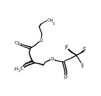 C=C(COC(=O)C(F)(F)F)C(=O)OCC